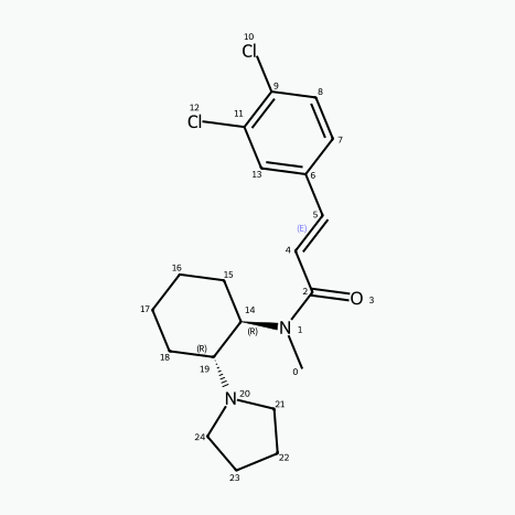 CN(C(=O)/C=C/c1ccc(Cl)c(Cl)c1)[C@@H]1CCCC[C@H]1N1CCCC1